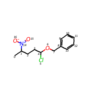 CC(CCC(Cl)OCc1ccccc1)[N+](=O)[O-]